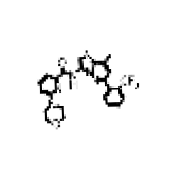 Cc1cc(-c2ccccc2C(F)(F)F)nn2c(NC(=O)c3cccc(N4CCOCC4)n3)cnc12